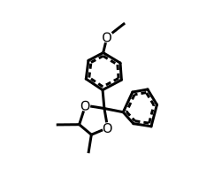 COc1ccc(C2(c3ccccc3)OC(C)C(C)O2)cc1